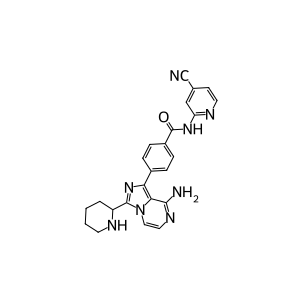 N#Cc1ccnc(NC(=O)c2ccc(-c3nc(C4CCCCN4)n4ccnc(N)c34)cc2)c1